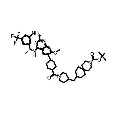 COc1cc2nc(C)nc(N[C@H](C)c3cc(N)cc(C(F)(F)F)c3)c2cc1C1CCC(C(=O)N2CCC(CC3CCC4(CC3)CCN(C(=O)OC(C)(C)C)CC4)CC2)CC1